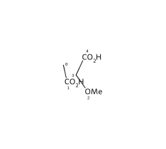 CC(=O)O.COCC(=O)O